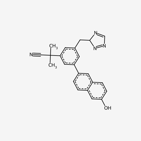 CC(C)(C#N)c1cc(CC2N=CN=N2)cc(-c2ccc3cc(O)ccc3c2)c1